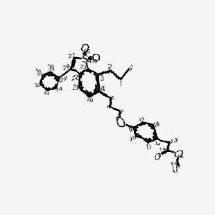 CCCc1c(CCCOc2ccc(CC(=O)OC)cc2)ccc2c1S(=O)(=O)C=C2c1ccccc1